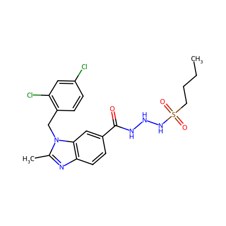 CCCCS(=O)(=O)NNNC(=O)c1ccc2nc(C)n(Cc3ccc(Cl)cc3Cl)c2c1